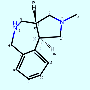 CN1C[C@H]2CNCc3ccccc3[C@@H]2C1